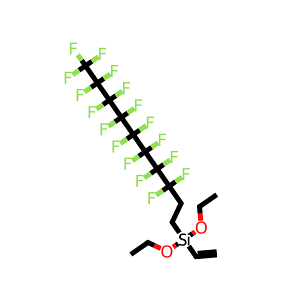 C=C[Si](CCC(F)(F)C(F)(F)C(F)(F)C(F)(F)C(F)(F)C(F)(F)C(F)(F)C(F)(F)F)(OCC)OCC